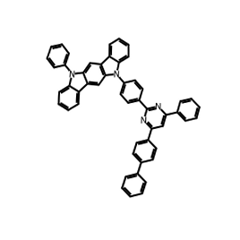 c1ccc(-c2ccc(-c3cc(-c4ccccc4)nc(-c4ccc(-n5c6ccccc6c6cc7c(cc65)c5ccccc5n7-c5ccccc5)cc4)n3)cc2)cc1